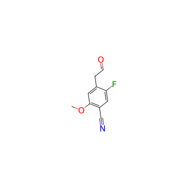 COc1cc(CC=O)c(F)cc1C#N